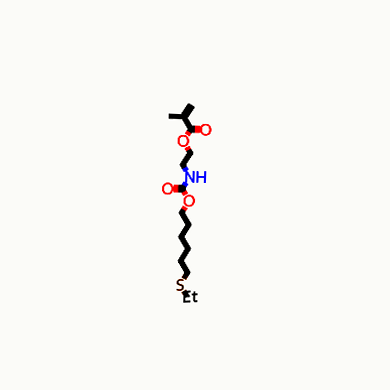 C=C(C)C(=O)OCCNC(=O)OCCCCCCSCC